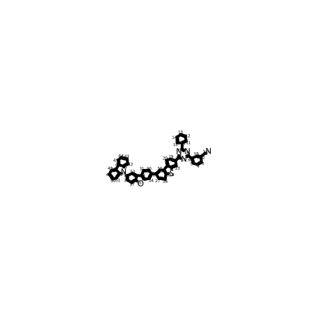 N#Cc1cccc(-c2nc(-c3ccccc3)nc(-c3ccc4c(c3)sc3ccc(-c5ccc6c(c5)oc5ccc(-n7c8ccccc8c8ccccc87)cc56)cc34)n2)c1